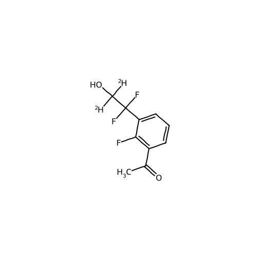 [2H]C([2H])(O)C(F)(F)c1cccc(C(C)=O)c1F